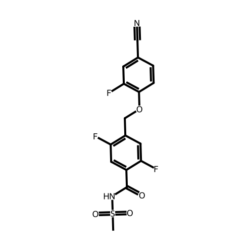 CS(=O)(=O)NC(=O)c1cc(F)c(COc2ccc(C#N)cc2F)cc1F